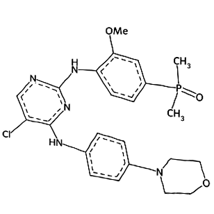 COc1cc(P(C)(C)=O)ccc1Nc1ncc(Cl)c(Nc2ccc(N3CCOCC3)cc2)n1